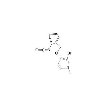 Cc1ccc(OCc2ccccc2N=C=O)c(Br)c1